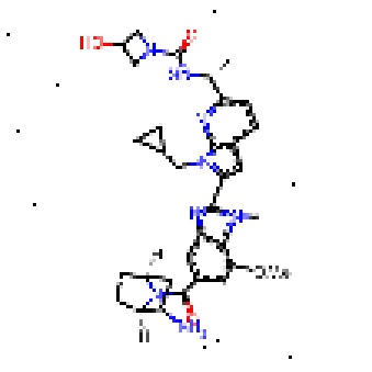 COc1cc(C(=O)N2[C@H]3CC[C@@H]2[C@H](N)C3)cc2nc(-c3cc4ccc([C@@H](C)NC(=O)N5CC(O)C5)nc4n3CC3CC3)n(C)c12